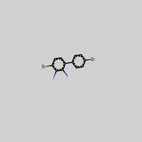 Brc1ccc(-c2ccc(Br)c(I)c2I)cc1